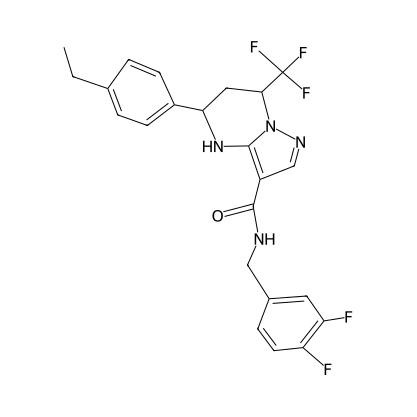 CCc1ccc(C2CC(C(F)(F)F)n3ncc(C(=O)NCc4ccc(F)c(F)c4)c3N2)cc1